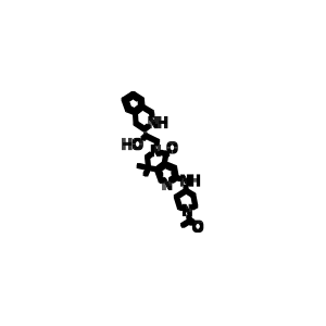 CC(=O)N1CCC(Nc2cc3c(cn2)C(C)(C)CN(CC(O)[C@@H]2Cc4ccccc4CN2)C3=O)CC1